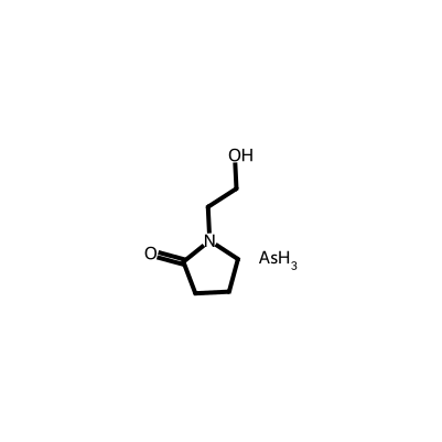 O=C1CCCN1CCO.[AsH3]